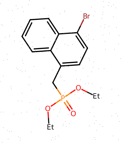 CCOP(=O)(Cc1ccc(Br)c2ccccc12)OCC